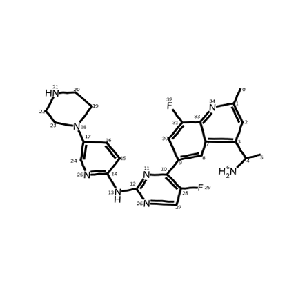 Cc1cc(C(C)N)c2cc(-c3nc(Nc4ccc(N5CCNCC5)cn4)ncc3F)cc(F)c2n1